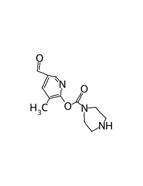 Cc1cc(C=O)cnc1OC(=O)N1CCNCC1